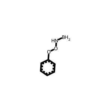 BNOOc1ccccc1